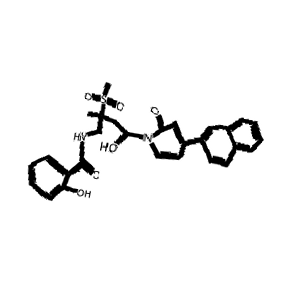 CC(CNC(=O)c1ccccc1O)(CC(O)n1ccc(-c2ccc3ccccc3c2)cc1=O)S(C)(=O)=O